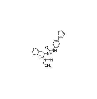 CCN(C#N)C(=O)C(Cc1ccccc1)NC(=O)Nc1ccc(-c2ccccc2)cc1